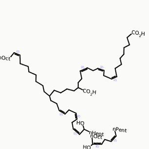 CCCCC/C=C\C/C=C(/O)CCCCCCCC.CCCCCCCC/C=C\CCCCCCCC(CC/C=C\C/C=C\C/C=C\C(O)CCCCCCC)CCCCC(CC/C=C\C/C=C\C/C=C\CCCCCCCC(=O)O)C(=O)O